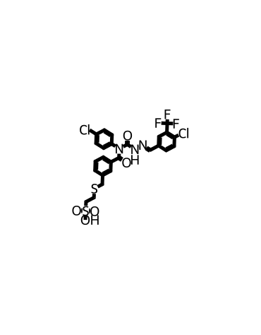 O=C(NN=Cc1ccc(Cl)c(C(F)(F)F)c1)N(C(=O)c1cccc(CSCCS(=O)(=O)O)c1)c1ccc(Cl)cc1